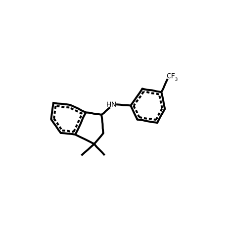 CC1(C)CC(Nc2cccc(C(F)(F)F)c2)c2ccccc21